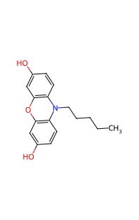 CCCCCN1c2ccc(O)cc2Oc2cc(O)ccc21